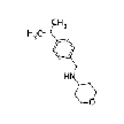 CC(C)c1ccc(CNC2CCOCC2)cc1